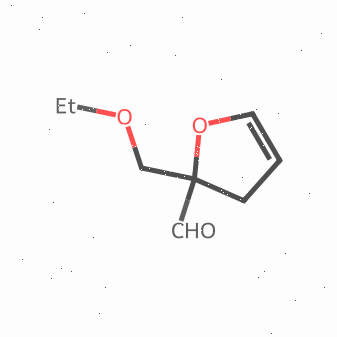 CCOCC1(C=O)CC=CO1